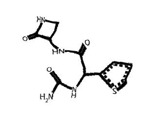 NC(=O)NC(C(=O)NC1CNC1=O)c1cccs1